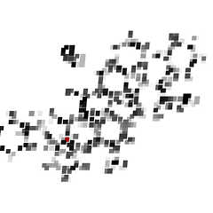 C/[C](c1ccc2ccccc2c1)=[Zr+2](\[C]1=CC(C2(C)CCCCC2)=CC1C)[c]1c2c(cc(C(C)(C)C)c1-c1ccccc1)-c1cc(C(C)(C)C)c(-c3ccccc3)cc1C2.[Cl-].[Cl-]